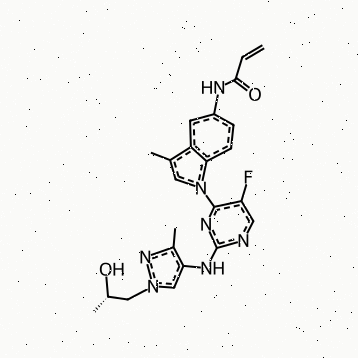 C=CC(=O)Nc1ccc2c(c1)c(C)cn2-c1nc(Nc2cn(C[C@H](C)O)nc2C)ncc1F